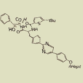 CCCCCCCOc1ccc(-c2cnc(-c3ccc(CC(NC(=O)c4ccc(C(C)(C)C)s4)C(=O)N[C@@H](C(=O)O)[C@H](O)c4ccccc4)cc3)nc2)cc1